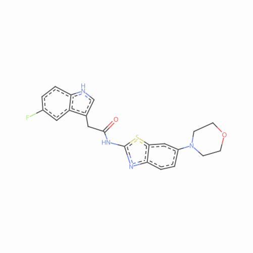 O=C(Cc1c[nH]c2ccc(F)cc12)Nc1nc2ccc(N3CCOCC3)cc2s1